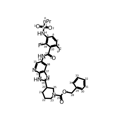 CCCS(=O)(=O)Nc1ccc(F)c(C(=O)Nc2cnc3[nH]c(C4CCCN(C(=O)OCc5ccccc5)C4)nc3c2)c1F